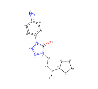 CC(CCn1nnn(-c2ccc(N)cc2)c1=O)C1CCCC1